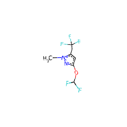 Cn1nc(OC(F)F)cc1C(F)(F)F